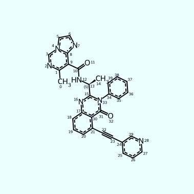 Cc1ncn2ccnc2c1C(=O)N[C@@H](C)c1nc2cccc(C#Cc3cccnc3)c2c(=O)n1-c1ccccc1